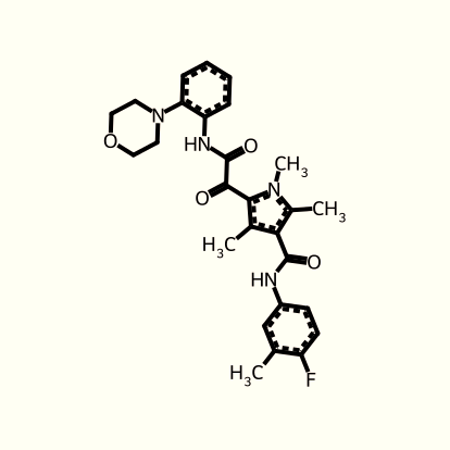 Cc1cc(NC(=O)c2c(C)c(C(=O)C(=O)Nc3ccccc3N3CCOCC3)n(C)c2C)ccc1F